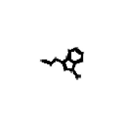 O=CCc1cn(O)c2ccccc12